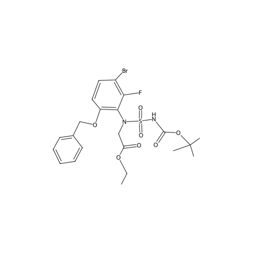 CCOC(=O)CN(c1c(OCc2ccccc2)ccc(Br)c1F)S(=O)(=O)NC(=O)OC(C)(C)C